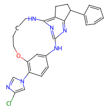 Clc1cn(-c2ccc3cc2OCCCCNc2nc(nc4c2CCC4c2ccccc2)N3)cn1